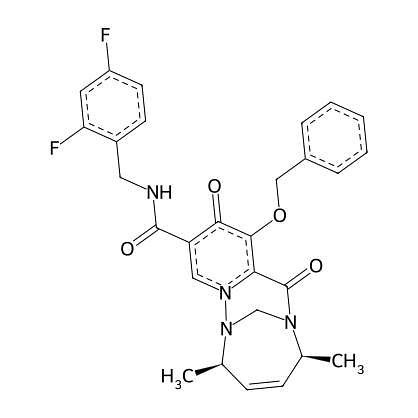 C[C@@H]1C=C[C@H](C)N2CN1n1cc(C(=O)NCc3ccc(F)cc3F)c(=O)c(OCc3ccccc3)c1C2=O